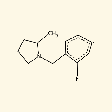 CC1CCCN1Cc1cc[c]cc1F